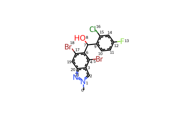 Cn1cc2c(Br)c(C(O)c3ccc(F)cc3Cl)c(Br)cc2n1